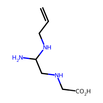 C=CCNC(N)CNCC(=O)O